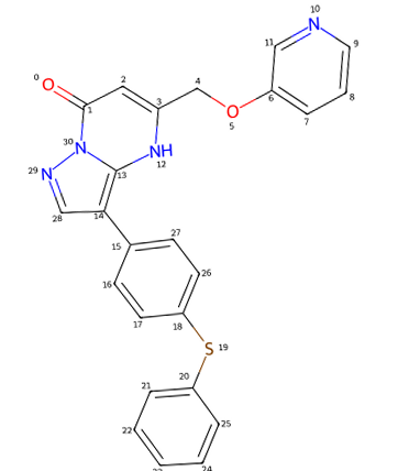 O=c1cc(COc2cccnc2)[nH]c2c(-c3ccc(Sc4ccccc4)cc3)cnn12